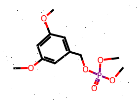 COc1cc(COP(=O)(OC)OC)cc(OC)c1